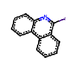 Ic1nc2ccccc2c2ccccc12